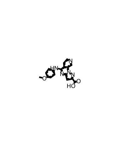 COc1ccc(Nc2nc3cc(C(=O)O)nn3c3cnccc23)cc1